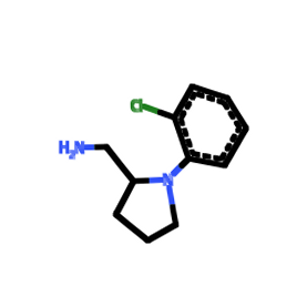 NCC1CCCN1c1ccccc1Cl